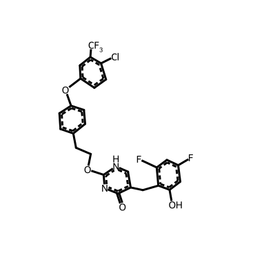 O=c1nc(OCCc2ccc(Oc3ccc(Cl)c(C(F)(F)F)c3)cc2)[nH]cc1Cc1c(O)cc(F)cc1F